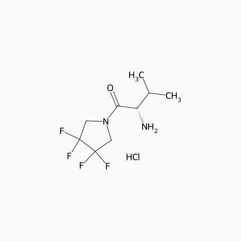 CC(C)[C@H](N)C(=O)N1CC(F)(F)C(F)(F)C1.Cl